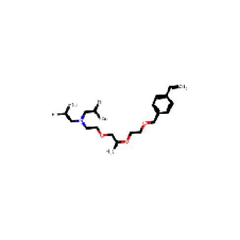 C=Cc1ccc(COCCOC(C)COCCN(CC(CC)CCCC)CC(CC)CCCC)cc1